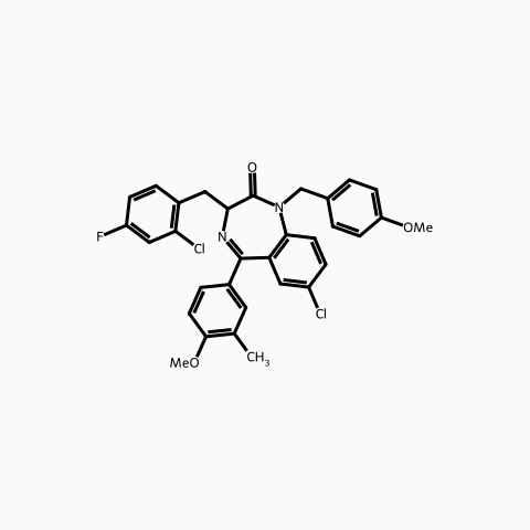 COc1ccc(CN2C(=O)C(Cc3ccc(F)cc3Cl)N=C(c3ccc(OC)c(C)c3)c3cc(Cl)ccc32)cc1